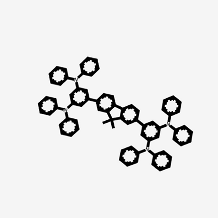 CC1(C)c2cc(-c3cc(N(c4ccccc4)c4ccccc4)cc(N(c4ccccc4)c4ccccc4)c3)ccc2-c2ccc(-c3cc(N(c4ccccc4)c4ccccc4)cc(N(c4ccccc4)c4ccccc4)c3)cc21